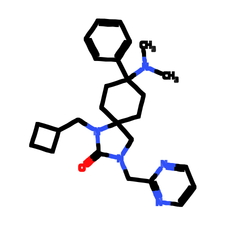 CN(C)C1(c2ccccc2)CCC2(CC1)CN(Cc1ncccn1)C(=O)N2CC1CCC1